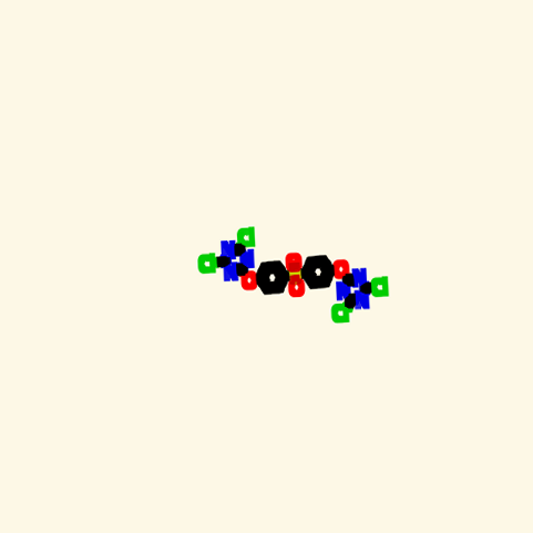 O=S(=O)(c1ccc(Oc2nc(Cl)nc(Cl)n2)cc1)c1ccc(Oc2nc(Cl)nc(Cl)n2)cc1